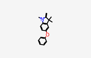 C=C1N(C)c2ccc(Oc3ccccc3)cc2C1(C)C